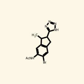 CC(=O)Nc1cc2c(cc1Br)CC(c1nnn[nH]1)C2C